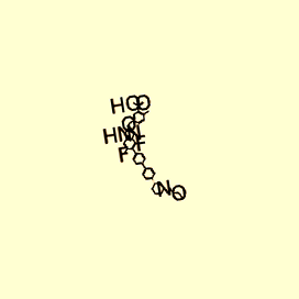 COCCN1CCC[C@H](c2ccc(-c3ccc(-c4c(F)cc5[nH]c(Oc6ccc(C)c(C(=O)O)c6)nc5c4F)cc3)cc2)C1